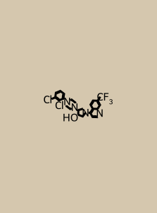 OC1CN(c2ccnc3cc(C(F)(F)F)ccc23)CC1N1CCN(c2cccc(Cl)c2Cl)CC1